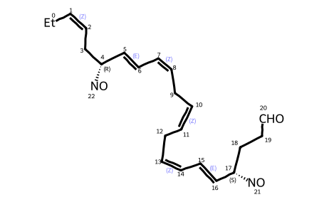 CC/C=C\C[C@H](/C=C/C=C\C/C=C\C/C=C\C=C\[C@H](CCC=O)N=O)N=O